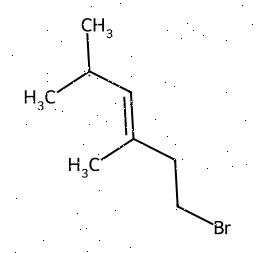 C[C](C)/C=C(\C)CCBr